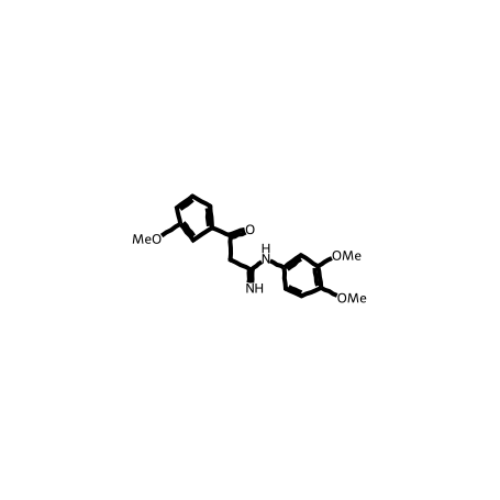 COc1cccc(C(=O)CC(=N)Nc2ccc(OC)c(OC)c2)c1